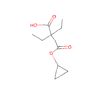 CCC(CC)(C(=O)O)C(=O)OC1CC1